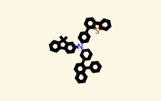 CC1(C)c2ccccc2-c2ccc(N(c3ccc(-c4cccc5c4sc4ccccc45)cc3)C3C=C(c4ccc5ccccc5c4-c4ccccc4)C=CC3)cc21